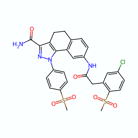 CS(=O)(=O)c1ccc(-n2nc(C(N)=O)c3c2-c2cc(NC(=O)Cc4cc(Cl)ccc4S(C)(=O)=O)ccc2CC3)cc1